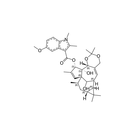 COc1ccc2c(c1)c(C(=O)O[C@H]1C(C)=C[C@]34C(O)[C@@H](C=C5COC(C)(C)O[C@H]5[C@]13O)[C@H]1[C@@H](C[C@H]4C)C1(C)C)c(C)n2C